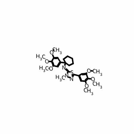 COc1cc(-c2nn(C)c(=NC3(c4cc(OC)c(OC)c(OC)c4)CCCCC3)s2)cc(OC)c1OC